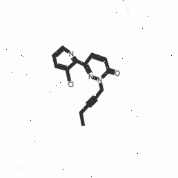 CCC#CCn1nc(-c2ncccc2Cl)ccc1=O